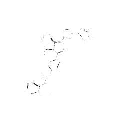 COc1ccccc1C(O)NCc1ccc(-c2nn(C3C=CC(c4nn[nH]n4)C3)c3ncnc(N)c23)cc1